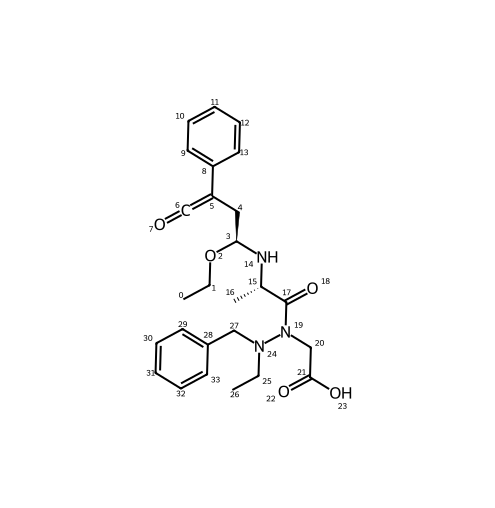 CCO[C@@H](CC(=C=O)c1ccccc1)N[C@@H](C)C(=O)N(CC(=O)O)N(CC)Cc1ccccc1